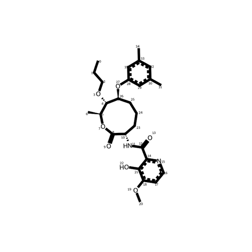 CCCO[C@H]1[C@H](C)OC(=O)[C@@H](NC(=O)c2nccc(OC)c2O)CCC[C@@H]1Oc1cc(C)cc(C)c1